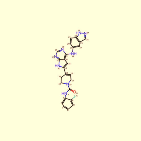 O=C(Nc1ccccc1F)N1CC=C(c2cc3c(Nc4ccc5[nH]ncc5c4)ncnc3[nH]2)CC1